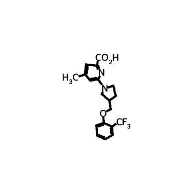 Cc1cc(C(=O)O)nc(N2CCC(COc3ccccc3C(F)(F)F)C2)c1